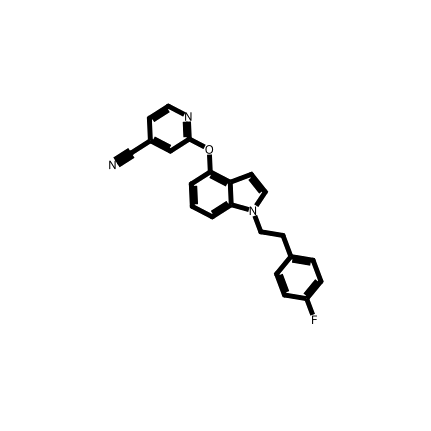 N#Cc1ccnc(Oc2cccc3c2ccn3CCc2ccc(F)cc2)c1